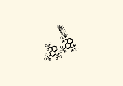 O=S(=O)([O-])c1cc(S(=O)(=O)[O-])c2cccc(S(=O)(=O)[O-])c2c1.O=S(=O)([O-])c1cc(S(=O)(=O)[O-])c2cccc(S(=O)(=O)[O-])c2c1.[Na+].[Na+].[Na+].[Na+].[Na+].[Na+]